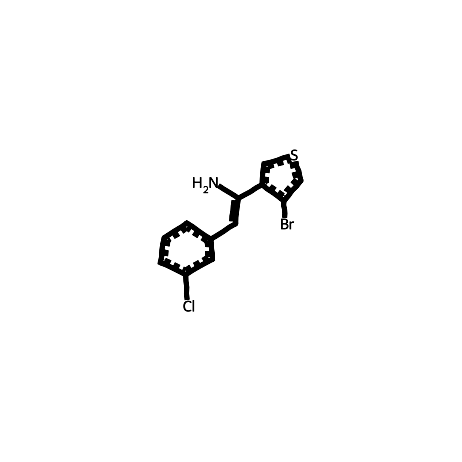 N/C(=C\c1cccc(Cl)c1)c1cscc1Br